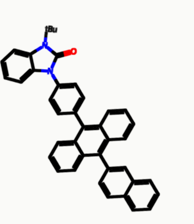 CC(C)(C)n1c(=O)n(-c2ccc(-c3c4ccccc4c(-c4ccc5ccccc5c4)c4ccccc34)cc2)c2ccccc21